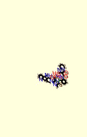 Cc1nc(N2CCC3(CC2)Cc2ncccc2C3N)c(C(=O)O)nc1Sc1cccc(NC(=O)c2c(O)nc3n(c2=O)CCCC3)c1Cl